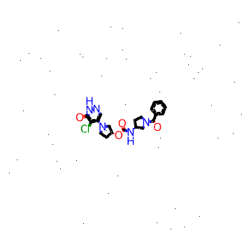 O=C(N[C@H]1CCN(C(=O)c2ccccc2)C1)O[C@@H]1CCN(c2cn[nH]c(=O)c2Cl)C1